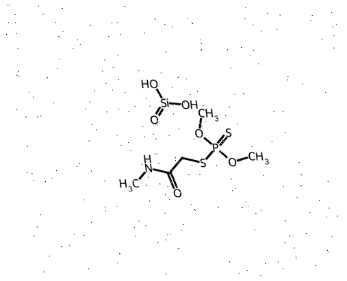 CNC(=O)CSP(=S)(OC)OC.O=[Si](O)O